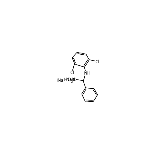 O=C(O)C(Nc1c(Cl)cccc1Cl)c1ccccc1.[NaH].[NaH]